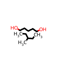 CCC(C)CC.OCCCCCO